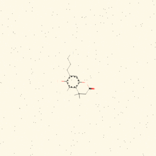 CCCCc1cc2c(c(C)c1O)C(C)(C)CC(=O)O2